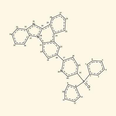 O=P(c1ccccc1)(c1ccccc1)c1ccc(-c2ccc3c(c2)c2ccccc2c2nc4ccccc4n32)nc1